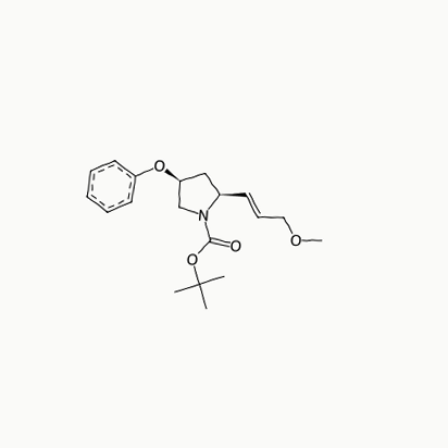 COC/C=C/[C@@H]1C[C@H](Oc2ccccc2)CN1C(=O)OC(C)(C)C